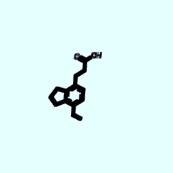 CCc1ccc(CCC(=O)O)c2c1CCC2